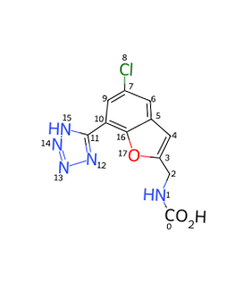 O=C(O)NCc1cc2cc(Cl)cc(-c3nnn[nH]3)c2o1